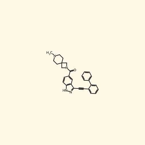 CN1CCC2(CC1)CN(C(=O)c1ccc3[nH]nc(C#Cc4ccccc4-c4ccccc4)c3c1)C2